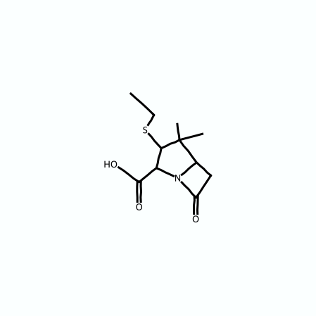 CCSC1C(C(=O)O)N2C(=O)CC2C1(C)C